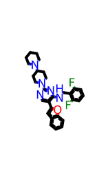 Fc1cccc(F)c1CNc1nc(N2CCC(N3CCCCC3)CC2)ncc1-c1cc2ccccc2o1